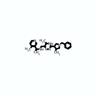 C=C1NC(C2CN(Cc3ccccc3)CC2C)=NN=C1CNC(=C)c1cnccc1C